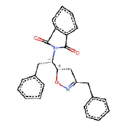 O=C1c2ccccc2C(=O)N1[C@@H](Cc1ccccc1)[C@@H]1CC(Cc2ccccc2)=NO1